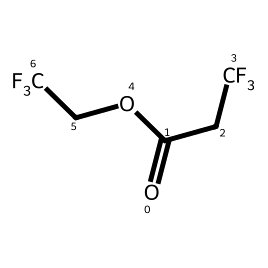 O=C(CC(F)(F)F)OCC(F)(F)F